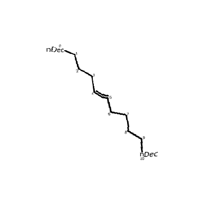 CCCCCCCCCCCCCC=CCCCCCCCCCCCCCC